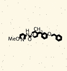 COc1ccc(NC(=O)N2CC/C(=C\c3cccc(OCCc4ccccc4)c3)C(C)C2)cn1